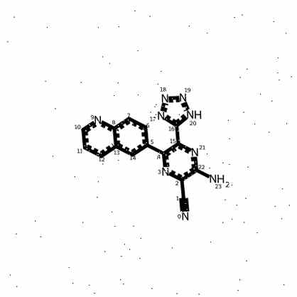 N#Cc1nc(-c2ccc3ncccc3c2)c(-c2nnn[nH]2)nc1N